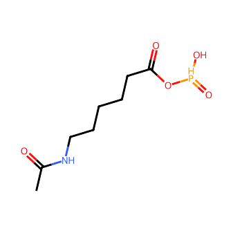 CC(=O)NCCCCCC(=O)O[PH](=O)O